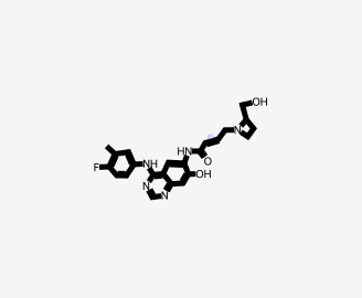 Cc1cc(Nc2ncnc3cc(O)c(NC(=O)/C=C/CN4CCC4CO)cc23)ccc1F